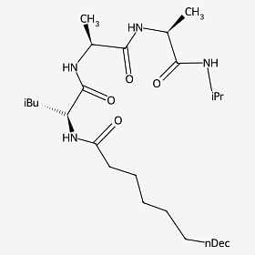 CCCCCCCCCCCCCCCC(=O)N[C@H](C(=O)N[C@@H](C)C(=O)N[C@@H](C)C(=O)NC(C)C)[C@@H](C)CC